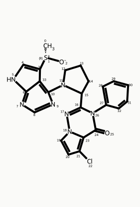 C[S@+]([O-])c1c[nH]c2ncnc(N3CCCC3c3nn4ccc(Cl)c4c(=O)n3-c3ccccc3)c12